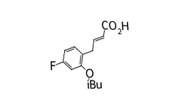 CCC(C)Oc1cc(F)ccc1CC=CC(=O)O